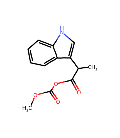 COC(=O)OC(=O)C(C)c1c[nH]c2ccccc12